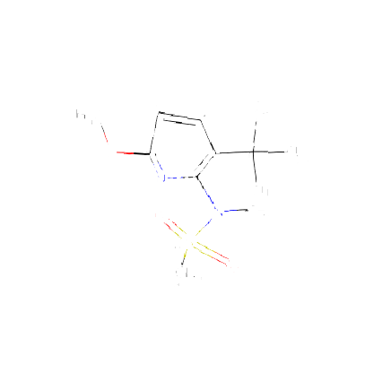 COc1ccc(C(C)(C)C)c(N(C)S(C)(=O)=O)n1